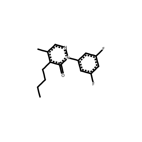 CCCCc1c(C)cnn(-c2cc(F)cc(F)c2)c1=O